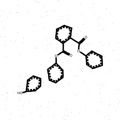 O=C(Oc1ccccc1)c1ccccc1C(=O)Oc1ccccc1.Oc1ccccc1